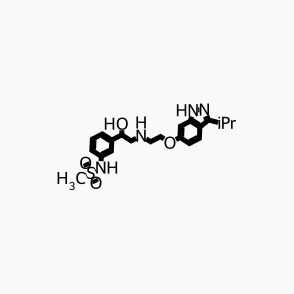 CC(C)c1n[nH]c2cc(OCCNCC(O)c3cccc(NS(C)(=O)=O)c3)ccc12